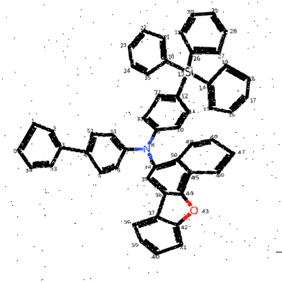 c1ccc(-c2ccc(N(c3ccc([Si](c4ccccc4)(c4ccccc4)c4ccccc4)cc3)c3cc4c5ccccc5oc4c4ccccc34)cc2)cc1